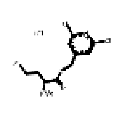 CN[C@@H](CCC(C)C)C(=O)OCc1cc(Cl)nc(Cl)c1.Cl